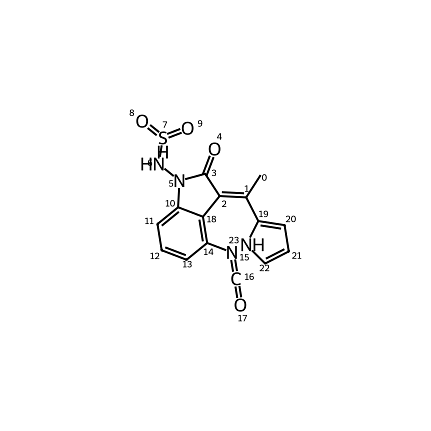 CC(=C1C(=O)N(N[SH](=O)=O)c2cccc(N=C=O)c21)c1ccc[nH]1